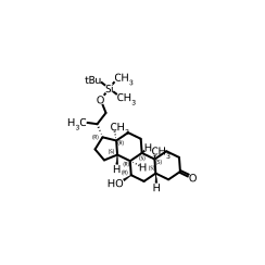 CC(CO[Si](C)(C)C(C)(C)C)[C@H]1CC[C@H]2[C@@H]3[C@H](O)C[C@H]4CC(=O)CC[C@]4(C)[C@H]3CC[C@]12C